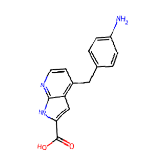 Nc1ccc(Cc2ccnc3[nH]c(C(=O)O)cc23)cc1